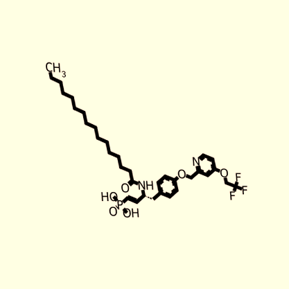 CCCCCCCCCCCCCCCC(=O)N[C@@H](C=CP(=O)(O)O)Cc1ccc(OCc2cc(OCC(F)(F)F)ccn2)cc1